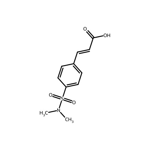 CN(C)S(=O)(=O)c1ccc(C=CC(=O)O)cc1